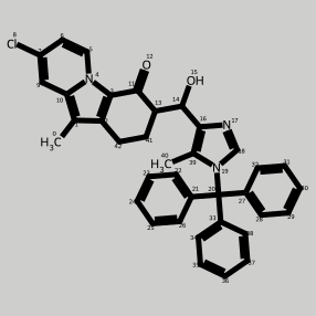 Cc1c2c(n3ccc(Cl)cc13)C(=O)C(C(O)c1ncn(C(c3ccccc3)(c3ccccc3)c3ccccc3)c1C)CC2